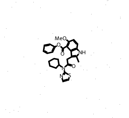 COc1ccc2[nH]c(C)c(CC(=O)N(c3nccs3)C3CCCCC3)c2c1C(=O)Oc1ccccc1